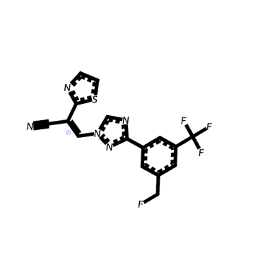 N#C/C(=C/n1cnc(-c2cc(CF)cc(C(F)(F)F)c2)n1)c1nccs1